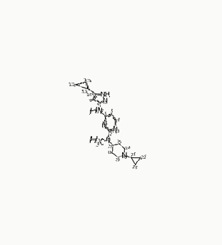 CN(c1nccc(Nc2cc(C3CC3)[nH]n2)n1)C1CCN(C2CC2)CC1